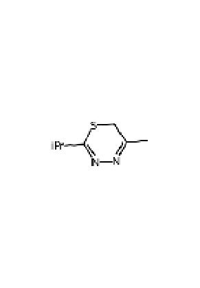 CC1=NN=C(C(C)C)SC1